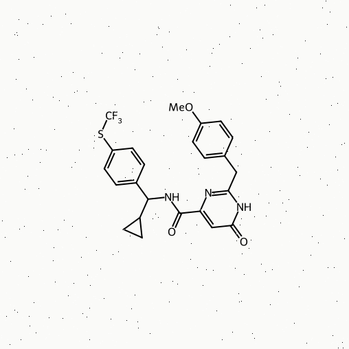 COc1ccc(Cc2nc(C(=O)NC(c3ccc(SC(F)(F)F)cc3)C3CC3)cc(=O)[nH]2)cc1